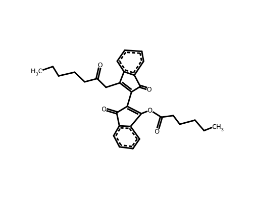 CCCCCC(=O)CC1=C(C2=C(OC(=O)CCCCC)c3ccccc3C2=O)C(=O)c2ccccc21